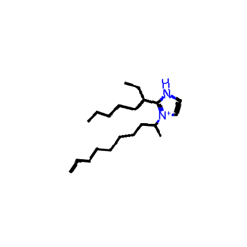 CCCCCCCCC(C)[n+]1cc[nH]c1C(CC)CCCCC